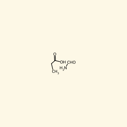 CCC(=O)O.NC=O